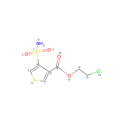 NS(=O)(=O)c1cscc1C(=O)OCCCl